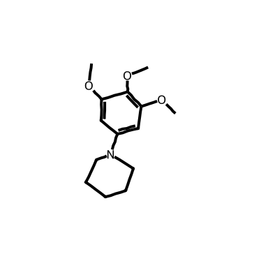 COc1cc(N2CCCCC2)cc(OC)c1OC